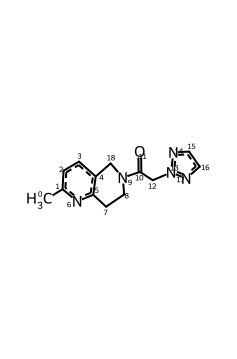 Cc1ccc2c(n1)CCN(C(=O)Cn1nccn1)C2